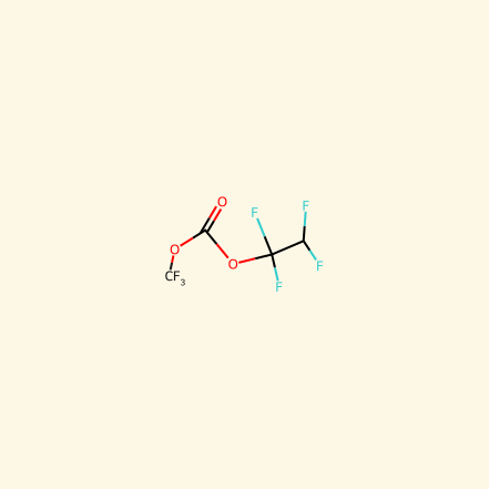 O=C(OC(F)(F)F)OC(F)(F)C(F)F